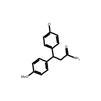 COc1ccc(C(CC(N)=O)c2ccc(Cl)cc2)cc1